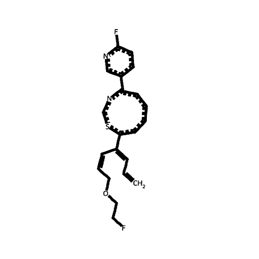 C=C/C=C(\C=C/COCCF)c1ccccc(-c2ccc(F)nc2)ncs1